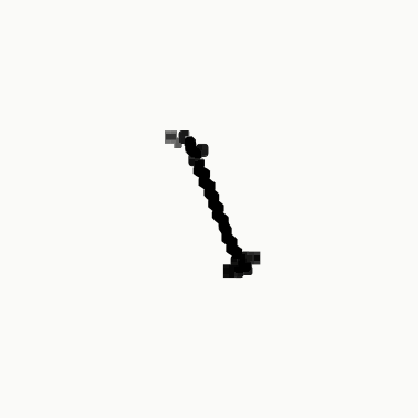 CC=CC(=O)OCCCCCCCCCCCCCCCCCOP(O)(O)=S